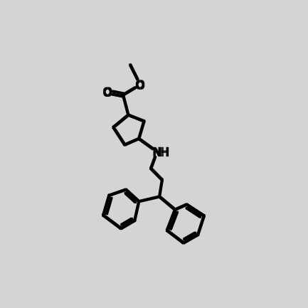 COC(=O)C1CCC(NCCC(c2ccccc2)c2ccccc2)C1